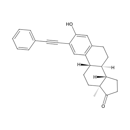 C[C@]12CC[C@@H]3c4cc(C#Cc5ccccc5)c(O)cc4CC[C@H]3[C@@H]1CCC2=O